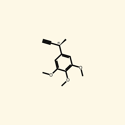 C#C[C@@H](C)c1cc(OC)c(OC)c(OC)c1